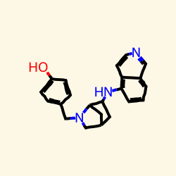 Oc1ccc(CN2CC3CC(Nc4cccc5cnccc45)C2C3)cc1